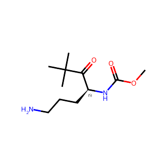 COC(=O)N[C@@H](CCCN)C(=O)C(C)(C)C